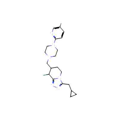 Clc1ccc(N2CCN(CC3CCn4c(CC5CC5)nnc4C3Cl)CC2)nc1